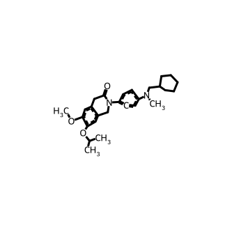 COc1cc2c(cc1OC(C)C)CN(c1ccc(N(C)CC3CCCCC3)cc1)C(=O)C2